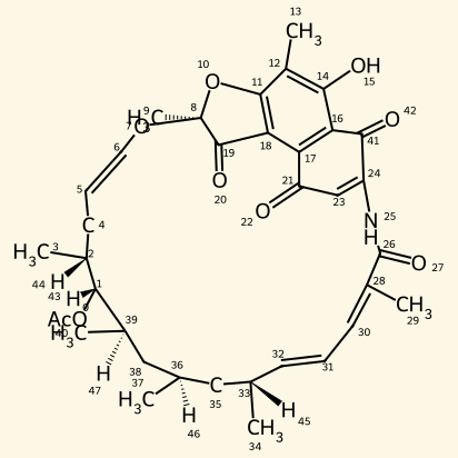 CC(=O)O[C@@H]1[C@H](C)C/C=C/O[C@@]2(C)Oc3c(C)c(O)c4c(c3C2=O)C(=O)C=C(NC(=O)/C(C)=C\C=C\[C@H](C)C[C@@H](C)C[C@H]1C)C4=O